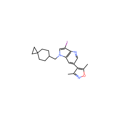 Cc1noc(C)c1-c1cnc2c(I)cn(CC3CCC4(CC3)CC4)c2c1